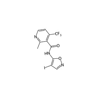 Cc1nccc(C(F)(F)F)c1C(=O)Nc1oncc1I